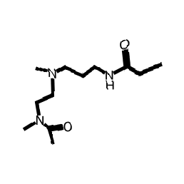 CCC(=O)NCCCN(C)CCN(C)C(C)=O